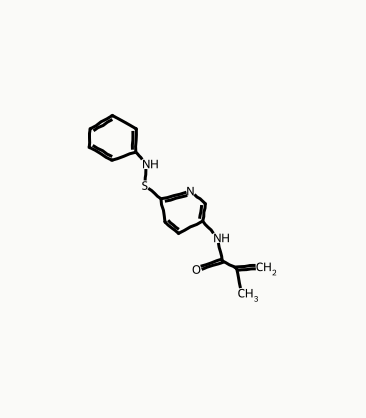 C=C(C)C(=O)Nc1ccc(SNc2ccccc2)nc1